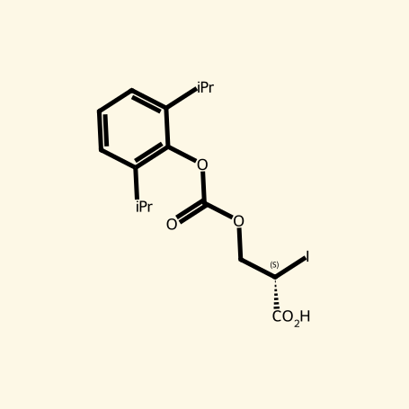 CC(C)c1cccc(C(C)C)c1OC(=O)OC[C@H](I)C(=O)O